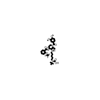 COc1ccc(C(=O)N2CCC(NC(=O)c3ccccc3OC(F)(F)F)c3c2cnn3CCCCCN(C(=O)O)C(C)(C)C)cc1OC